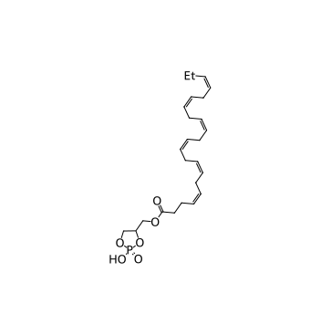 CC/C=C\C/C=C\C/C=C\C/C=C\C/C=C\C/C=C\CCC(=O)OCC1COP(=O)(O)O1